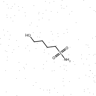 NS(=O)(=O)CCCCO